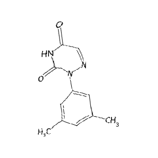 Cc1cc(C)cc(-n2ncc(=O)[nH]c2=O)c1